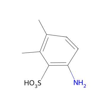 Cc1ccc(N)c(S(=O)(=O)O)c1C